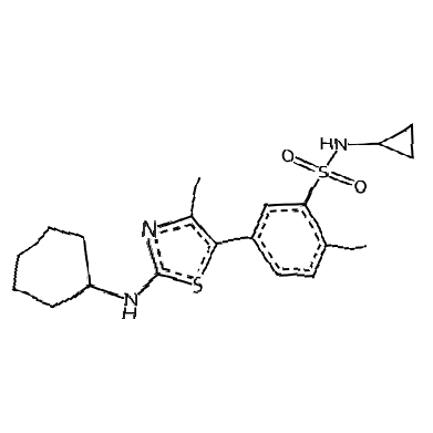 Cc1ccc(-c2sc(NC3CCCCC3)nc2C)cc1S(=O)(=O)NC1CC1